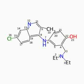 CCN(CC)Cc1cc(Nc2c(C)cnc3cc(Cl)ccc23)ccc1O